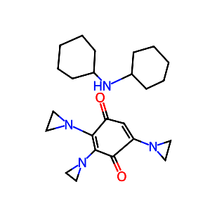 C1CCC(NC2CCCCC2)CC1.O=C1C=C(N2CC2)C(=O)C(N2CC2)=C1N1CC1